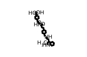 Cc1[nH]c2ccccc2c1CCNCc1ccc(/C=C/C(=O)NOCc2ccc(B(O)O)cc2)cc1